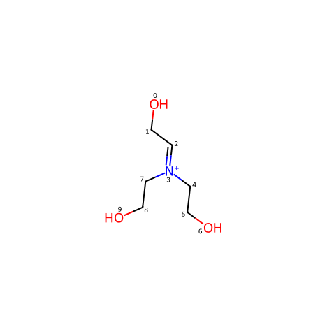 OCC=[N+](CCO)CCO